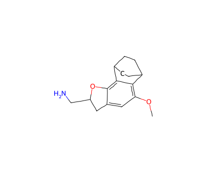 COc1cc2c(c3c1C1CCC3CC1)OC(CN)C2